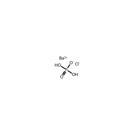 O=P([O-])(O)O.[Ba+2].[Cl-]